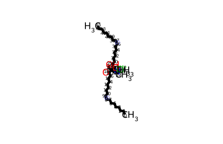 CCCCCCCC/C=C\CCCCCCCC(=O)C(CO)(C[N+](C)(C)C)C(=O)CCCCCCC/C=C\CCCCCCCC.[Cl-]